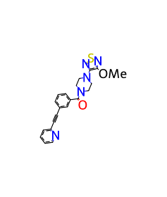 COc1nsnc1N1CCN(C(=O)c2cccc(C#Cc3ccccn3)c2)CC1